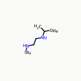 CSC(C)NCCNC(C)(C)C